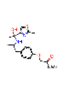 CNC(=O)COc1ccc(CC(C)NC(C)(O)c2csc(C)n2)cc1